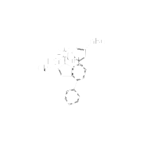 CCCCC1=C[CH]([Zr]([CH3])([CH3])([CH3])([CH3])([SiH3])([SiH3])[CH]2C=Cc3c(-c4ccccc4)cccc32)C=C1.[Cl-].[Cl-]